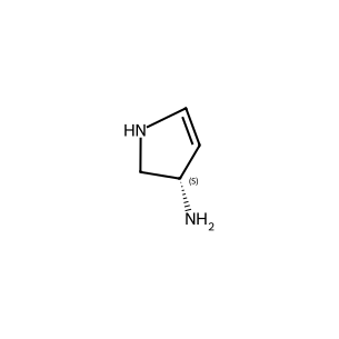 N[C@H]1C=CNC1